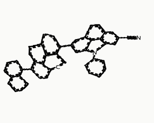 N#Cc1cc2ccc3cc(-c4ccc5ccc6c(-c7cccc8ccccc78)ccc7ccc4c5c76)cc4c3c2c(c1)n4-c1ccccc1